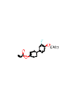 C=CC(=O)Oc1ccc(-c2ccc(OC=O)c(F)c2)cc1